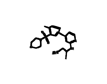 CNCC(C)Nc1cc(-c2ccc(C)c(S(=O)(=O)N3CCOCC3)c2)ccn1